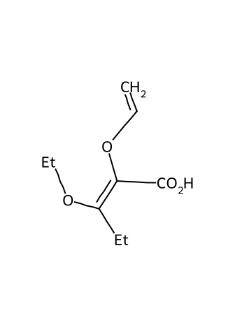 C=CO/C(C(=O)O)=C(/CC)OCC